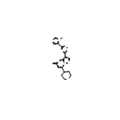 Cn1cncc1-c1nnc(-c2cnn3c(C4CCNCC4)cc(=O)[nH]c23)o1